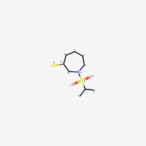 CC(C)S(=O)(=O)N1CCCC[C@H](S)C1